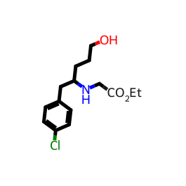 CCOC(=O)CNC(CCCO)Cc1ccc(Cl)cc1